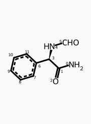 NC(=O)[C@H](NC=O)c1ccccc1